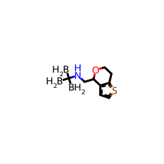 BC(B)(B)NCC1OCCc2sccc21